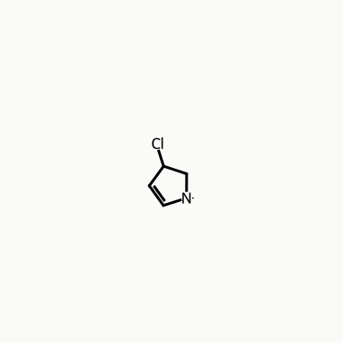 ClC1C=C[N]C1